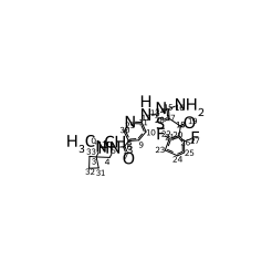 CN(C)C1(CNC(=O)c2ccc(Nc3nc(N)c(C(=O)c4c(F)cccc4F)s3)nc2)CCC1